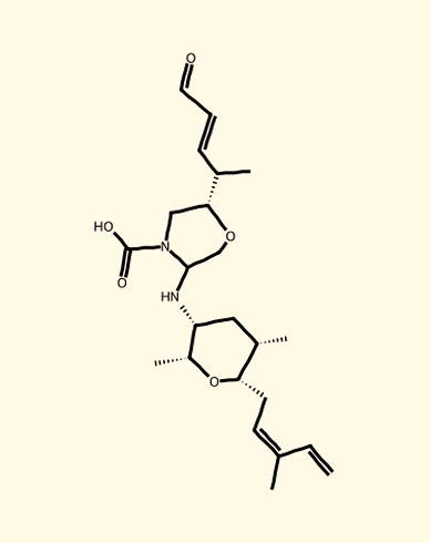 C=CC(C)=CC[C@@H]1O[C@H](C)[C@H](NC2CO[C@@H](C(C)C=CC=O)CN2C(=O)O)C[C@@H]1C